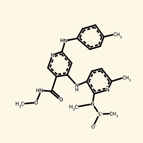 CONC(=O)c1cnc(Nc2ccc(C)cc2)cc1Nc1ccc(C)nc1N(C)[S+](C)[O-]